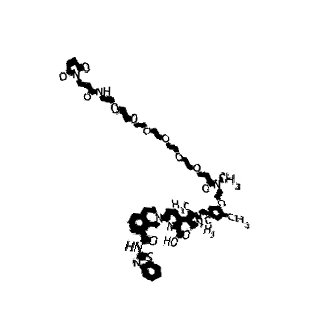 Cc1c(-c2ccc(N3CCc4cccc(C(=O)Nc5nc6ccccc6s5)c4C3)nc2C(=O)O)cnn1CC1(C)CC(C)C(OCCN(C)C(=O)CCOCCOCCOCCOCCOCCOCCNC(=O)CCN2C(=O)C=CC2=O)C1